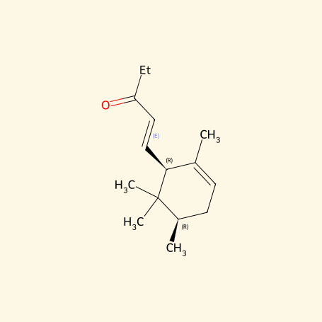 CCC(=O)/C=C/[C@H]1C(C)=CC[C@@H](C)C1(C)C